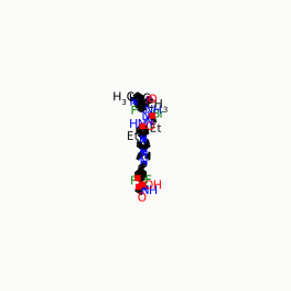 CCOc1cc(N2CCC(N3CCN(CCc4cc(F)c([C@H]5CCC(=O)NC5O)c(F)c4)CC3)CC2)c(CC)cc1Nc1ncc(Br)c(Nc2cc(F)c3nc(C)ccc3c2P(C)(C)=O)n1